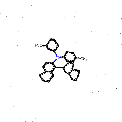 Cc1ccc(N(c2cccc(C)c2)c2ccc3ccccc3c2-c2ccc3ccccc3c2)cc1